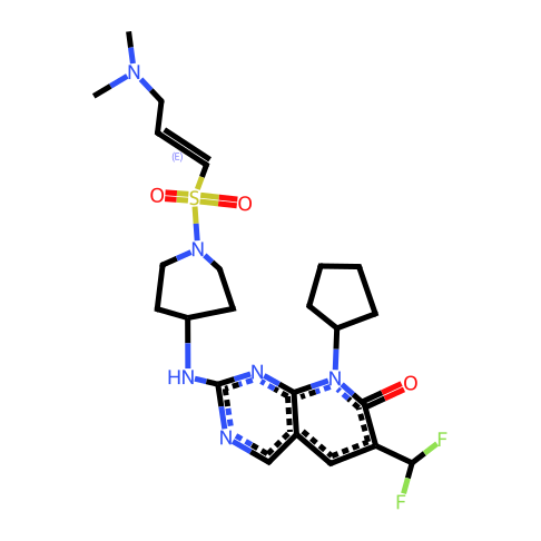 CN(C)C/C=C/S(=O)(=O)N1CCC(Nc2ncc3cc(C(F)F)c(=O)n(C4CCCC4)c3n2)CC1